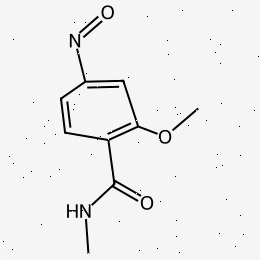 CNC(=O)c1ccc(N=O)cc1OC